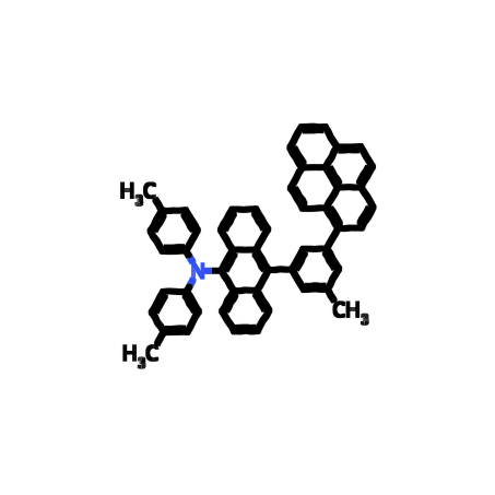 Cc1ccc(N(c2ccc(C)cc2)c2c3ccccc3c(-c3cc(C)cc(-c4ccc5ccc6cccc7ccc4c5c67)c3)c3ccccc23)cc1